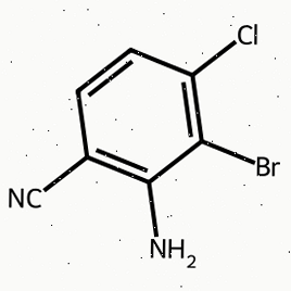 N#Cc1ccc(Cl)c(Br)c1N